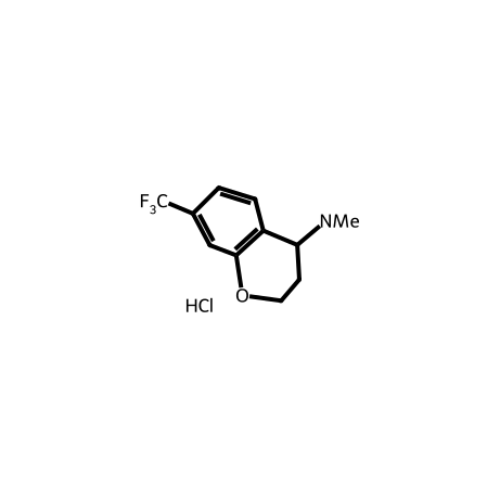 CNC1CCOc2cc(C(F)(F)F)ccc21.Cl